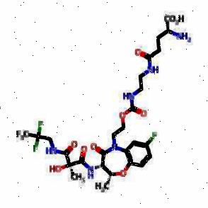 C[C@H]1Oc2ccc(F)cc2N(CCOC(=O)NCCNC(=O)CC[C@H](N)C(=O)O)C(=O)[C@H]1NC(=O)[C@@](C)(O)C(=O)NCC(F)(F)C(F)(F)F